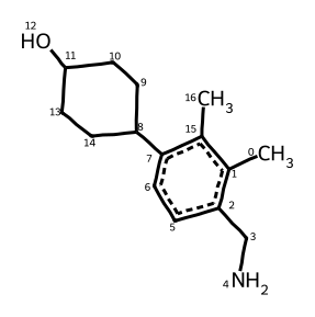 Cc1c(CN)ccc(C2CCC(O)CC2)c1C